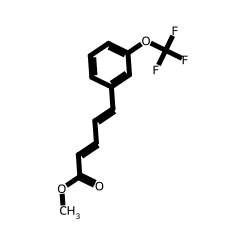 COC(=O)/C=C/C=C/c1cccc(OC(F)(F)F)c1